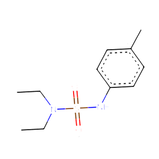 CCN(CC)S(=O)(=O)Nc1ccc(C)cc1